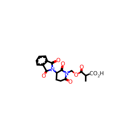 CC(C(=O)O)C(=O)OCN1C(=O)CCC(N2C(=O)c3ccccc3C2=O)C1=O